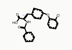 O=C(O)/C(=C/c1ccc(Oc2ccccc2Cl)cc1)NC(=O)c1ccccc1